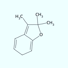 CC1=C2C=CCC=C2OC1(C)C